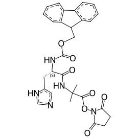 CC(C)(NC(=O)[C@H](Cc1cnc[nH]1)NC(=O)OCC1c2ccccc2-c2ccccc21)C(=O)ON1C(=O)CCC1=O